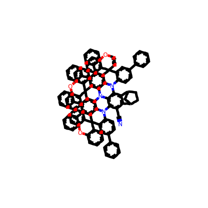 N#Cc1c2c(c(N3c4ccc(-c5ccccc5)cc4C4(c5ccccc5Oc5ccccc54)c4cc(-c5ccccc5)ccc43)c(N3c4ccc(-c5ccccc5)cc4C4(c5ccccc5Oc5ccccc54)c4cc(-c5ccccc5)ccc43)c1N1c3ccc(-c4ccccc4)cc3C3(c4ccccc4Oc4ccccc43)c3cc(-c4ccccc4)ccc31)C1CCC2C1